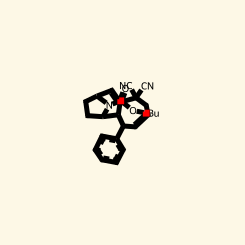 CC(C)(C)OC(=O)N1C2C=C3C(C(c4ccccc4)C=CCC3(C#N)C#N)C1CC2